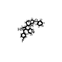 Fc1ccc(-c2[nH]cc(C3=C[C@@H]4C[C@H](Oc5ccccc5)CN4CC3)c2-c2ccncc2)cc1